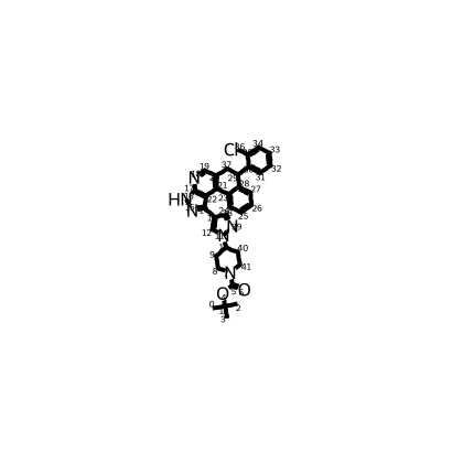 CC(C)(C)OC(=O)N1CCC(n2cc(-c3n[nH]c4ncc5c(c34)-c3ccccc3C(c3ccccc3Cl)C5)cn2)CC1